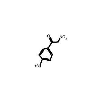 CC(C)(C)c1ccc(C(=O)C[N+](=O)[O-])cc1